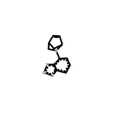 [c]1ccc2nonc2c1N1CC2C=CC1C2